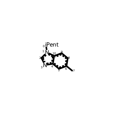 CCCC(C)n1cnc2cc(C)ccc21